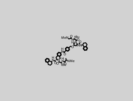 CNCC(=O)N[C@H](C(=O)N1C[C@@H](OCc2ccc(C(=O)Nc3ccc4c(c3)CN(C(=O)C(NC(=O)[C@H](C)NC)C(C)(C)C)[C@H](C(=O)N[C@@H]3CCCc5ccccc53)C4)cc2)C[C@H]1C(=O)N[C@@H]1CCCc2ccccc21)C(C)(C)C